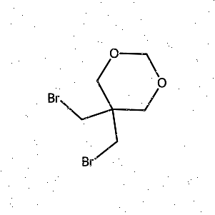 BrCC1(CBr)COCOC1